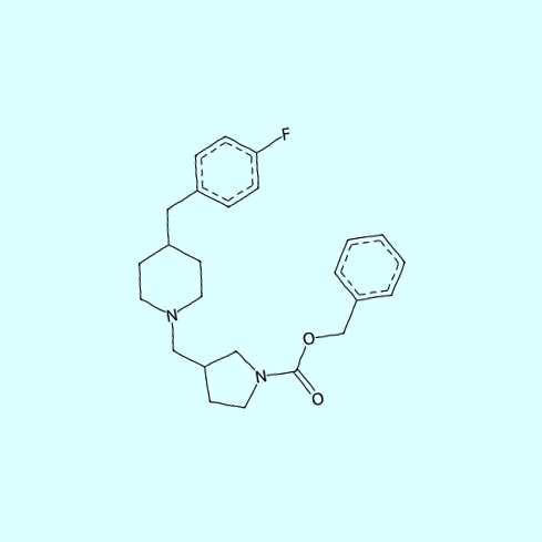 O=C(OCc1ccccc1)N1CCC(CN2CCC(Cc3ccc(F)cc3)CC2)C1